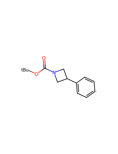 CC(C)(C)OC(=O)N1CC(c2cc[c]cc2)C1